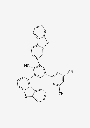 N#Cc1cc(C#N)cc(-c2cc(-c3ccc4c(c3)sc3ccccc34)c(C#N)c(-c3cccc4sc5ccccc5c34)c2)c1